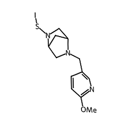 COc1ccc(CN2CC3CC2CN3SI)cn1